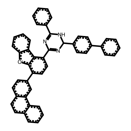 c1ccc(C2=NC(c3ccc(-c4ccc5ccc6ccccc6c5c4)c4oc5ccccc5c34)=NC(c3ccc(-c4ccccc4)cc3)N2)cc1